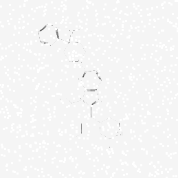 CCC[C@H](c1nc2ccc(N3CCC(c4ccccc4)(N(C)C)CC3)nc2n1CC)N1C[C@@H](C)N[C@@H](C)C1